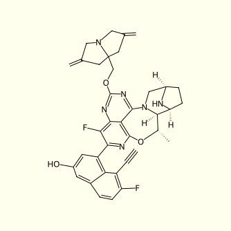 C#Cc1c(F)ccc2cc(O)cc(-c3nc4c5c(nc(OCC67CC(=C)CN6CC(=C)C7)nc5c3F)N3C[C@H]5CC[C@H](N5)[C@H]3[C@H](C)O4)c12